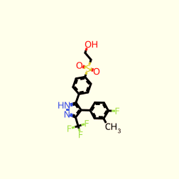 Cc1cc(-c2c(C(F)(F)F)n[nH]c2-c2ccc(S(=O)(=O)CCO)cc2)ccc1F